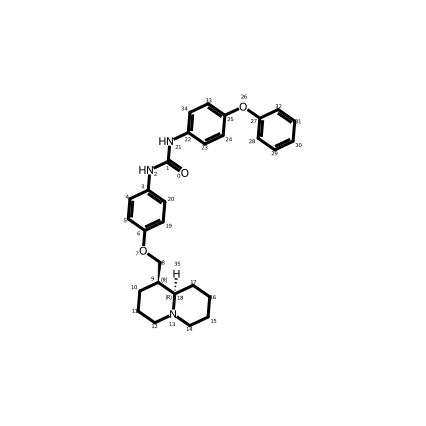 O=C(Nc1ccc(OC[C@@H]2CCCN3CCCC[C@H]23)cc1)Nc1ccc(Oc2ccccc2)cc1